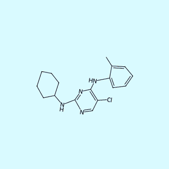 Cc1ccccc1Nc1nc(NC2CCCCC2)ncc1Cl